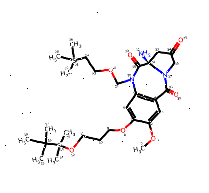 COc1cc2c(cc1OCCCO[Si](C)(C)C(C)(C)C)N(COCC[Si](C)(C)C)C(=O)[C@]1(N)CC(=O)CN1C2=O